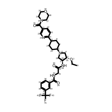 CCO[C@H]1CN(C2CCC(c3ccc(C(=O)N4CCOCC4)cn3)CC2)C[C@@H]1NC(=O)CNC(=O)c1cccc(C(F)(F)F)c1